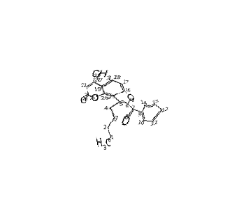 CCCCCc1c(C(=O)c2ccccc2)oc2ccc3c(C)cc(=O)oc3c12